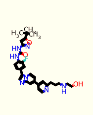 CC(C)(C)c1cc(NC(=O)Nc2ccc(-c3cnc4cc(-c5ccnc(CCCNCCO)c5)ccn34)cc2F)no1